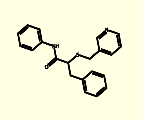 O=C(Nc1ccccc1)C(Cc1ccccc1)SCc1cccnc1